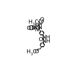 COCCc1ccc(NC(=O)Nc2ccc(-c3nc(N4CCOCC4C)nc(N4C5CCC4COC5)n3)cc2)cc1